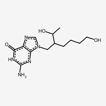 CC(O)C(CCCCO)Cn1cnc2c(=O)[nH]c(N)nc21